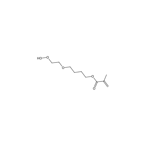 C=C(C)C(=O)OCCCCOCCOO